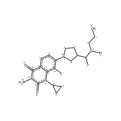 CCN(CCC#N)C(C)C1CCN(c2ccc3c(=O)n(N)c(=O)n(C4CC4)c3c2C)C1